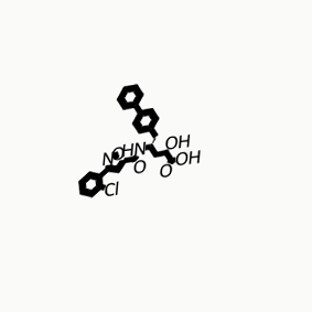 O=C(N[C@H](Cc1ccc(-c2ccccc2)cc1)C[C@@H](O)C(=O)O)c1cc(-c2ccccc2Cl)no1